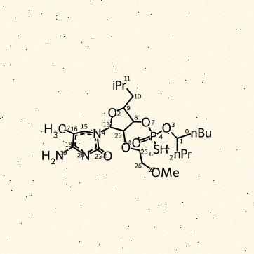 CCCCC(CCC)OP(=O)(S)OC1C(CC(C)C)OC(n2cc(C)c(N)nc2=O)C1OCCOC